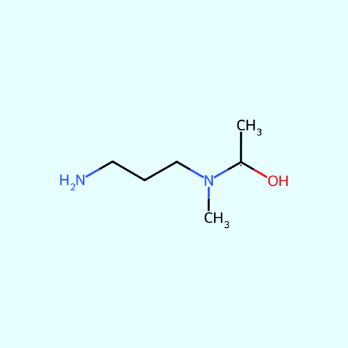 C[C](O)N(C)CCCN